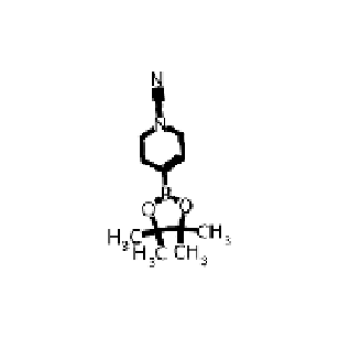 CC1(C)OB(C2=CCN(C#N)CC2)OC1(C)C